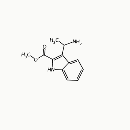 COC(=O)c1[nH]c2ccccc2c1C(C)N